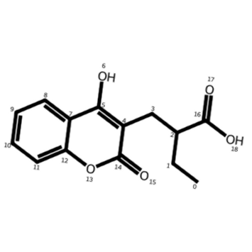 CCC(Cc1c(O)c2ccccc2oc1=O)C(=O)O